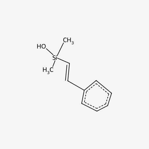 C[Si](C)(O)C=Cc1ccccc1